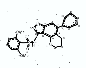 COc1cccc(OC)c1S(=O)(=O)Nc1noc2cc(-c3ccccc3)c3c(c12)OCCC3